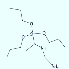 CCCO[Si](OCCC)(OCCC)C(C)NCN